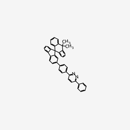 CC1(C)c2ccccc2C2(c3ccccc3-c3ccc(-c4ccc(-c5ccc(-c6ccccc6)nn5)cc4)cc32)c2ccccc21